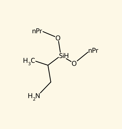 CCCO[SiH](OCCC)C(C)CN